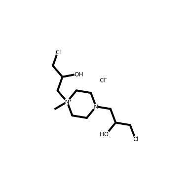 C[N+]1(CC(O)CCl)CCN(CC(O)CCl)CC1.[Cl-]